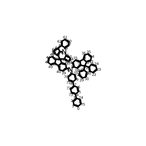 c1ccc(-c2ccc(-c3ccc(N(c4ccc5c(c4)C(c4ccccc4)(c4ccccc4)c4ccccc4-5)c4ccc5c(c4)C4(c6ccccc6-5)c5ccccc5-n5c6ccccc6c6cccc4c65)cc3)cc2)cc1